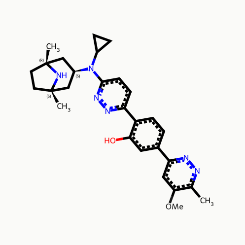 COc1cc(-c2ccc(-c3ccc(N(C4CC4)[C@H]4C[C@]5(C)CC[C@](C)(C4)N5)nn3)c(O)c2)nnc1C